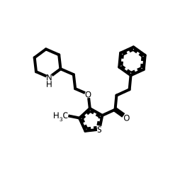 Cc1csc(C(=O)CCc2ccccc2)c1OCCC1CCCCN1